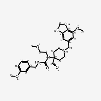 COCCN(C(=O)NCc1cccc(OC)c1)C1(C=O)CCN(Cc2cc(OC)c3c(c2)OCO3)CC1